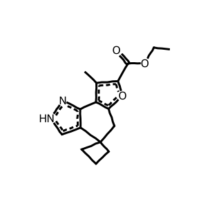 CCOC(=O)c1oc2c(c1C)-c1n[nH]cc1C1(CCC1)C2